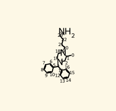 CC1CN(C(c2ccccc2)c2ccccc2)CCN1CCCCN